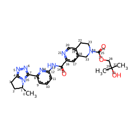 C[C@H]1CCc2nnc(-c3cccc(NC(=O)c4cc5c(cn4)CCN(C(=O)OCC(C)(C)O)C5)n3)n21